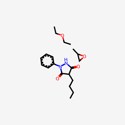 CC1CO1.CCCCC1C(=O)NN(c2ccccc2)C1=O.CCOCC